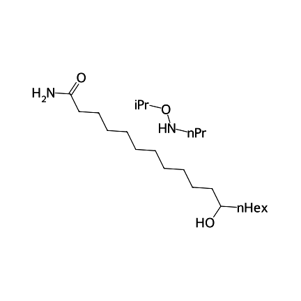 CCCCCCC(O)CCCCCCCCCCC(N)=O.CCCNOC(C)C